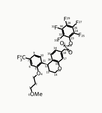 COCCCOc1cc(C(F)(F)F)ccc1[C@@H]1CCOc2cc(S(=O)(=O)Oc3c(F)c(F)c(F)c(F)c3F)ccc21